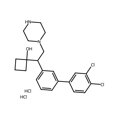 Cl.Cl.OC1(C(CN2CCNCC2)c2cccc(-c3ccc(Cl)c(Cl)c3)c2)CCC1